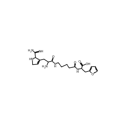 N=C(N)C1NCC=C1CC(N)C(=O)NCCCCC(=O)NC(Cc1ccco1)C(=O)O